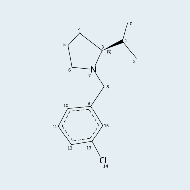 CC(C)[C@@H]1CCCN1Cc1cccc(Cl)c1